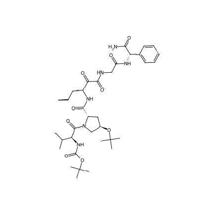 CCCC(NC(=O)[C@@H]1C[C@@H](OC(C)(C)C)CN1C(=O)[C@@H](NC(=O)OC(C)(C)C)C(C)C)C(=O)C(=O)NCC(=O)N[C@H](C(N)=O)c1ccccc1